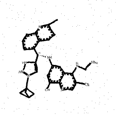 Cc1ccc2c([C@H](Nc3cc(C#N)c4ncc(C#N)c(NCC(C)(C)C)c4c3)C3=CN(C45CC(C4)C5)NN3)cccc2n1